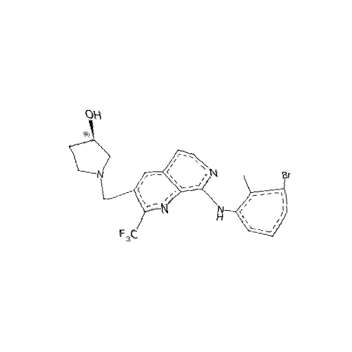 Cc1c(Br)cccc1Nc1nccc2cc(CN3CC[C@@H](O)C3)c(C(F)(F)F)nc12